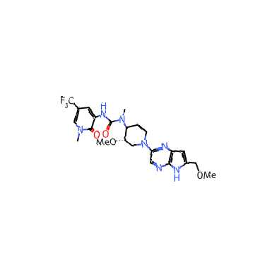 COCc1cc2nc(N3CC[C@H](N(C)C(=O)Nc4cc(C(F)(F)F)cn(C)c4=O)[C@@H](OC)C3)cnc2[nH]1